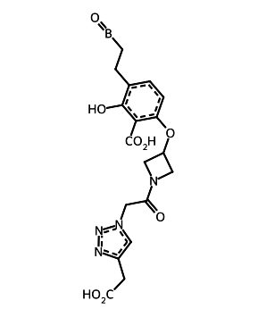 O=BCCc1ccc(OC2CN(C(=O)Cn3cc(CC(=O)O)nn3)C2)c(C(=O)O)c1O